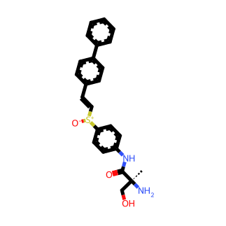 C[C@](N)(CO)C(=O)Nc1ccc([S+]([O-])C=Cc2ccc(-c3ccccc3)cc2)cc1